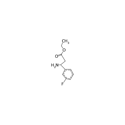 CCOC(=O)CC(N)c1cccc(F)c1